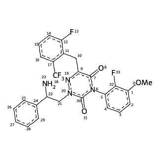 COc1cccc(-n2c(=O)c(Cc3c(F)cccc3C(F)(F)F)nn(CC(N)c3ccccc3)c2=O)c1F